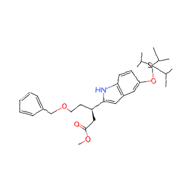 COC(=O)C[C@@H](CCOCc1ccccc1)c1cc2cc(O[Si](C(C)C)(C(C)C)C(C)C)ccc2[nH]1